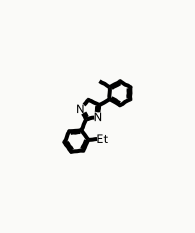 CCc1ccccc1C1=NCC(c2ccccc2C)=N1